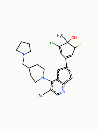 CC(=O)c1cnc2ccc(C3=CC(F)C(C)(O)C(Cl)=C3)cc2c1N1CCC(CN2CCCC2)CC1